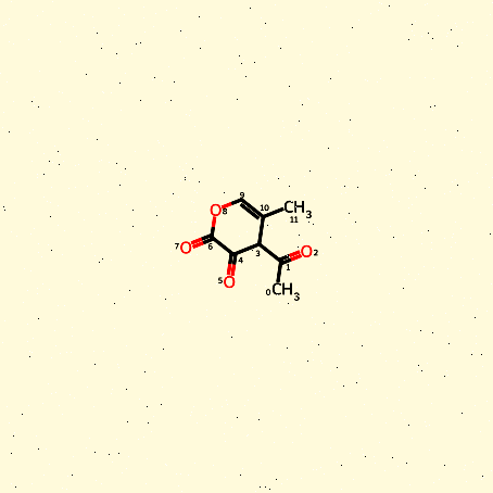 CC(=O)C1C(=O)C(=O)OC=C1C